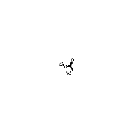 CC(=O)OCl.[Nd]